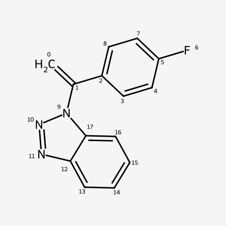 C=C(c1ccc(F)cc1)n1nnc2ccccc21